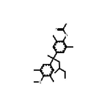 CCC(C)CC(C)(c1cc(C)c(OC)c(C)c1)c1cc(C)c(OC(C)=O)c(C)c1